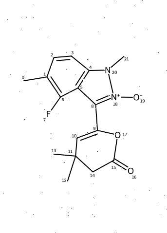 Cc1ccc2c(c1F)c(C1=CC(C)(C)CC(=O)O1)[n+]([O-])n2C